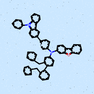 c1ccc(Cc2ccccc2-c2ccc(N(c3ccc(-c4ccc5c(c4)c4ccccc4n5-c4ccccc4)cc3)c3ccc4c(c3)oc3ccccc34)cc2Cc2ccccc2)cc1